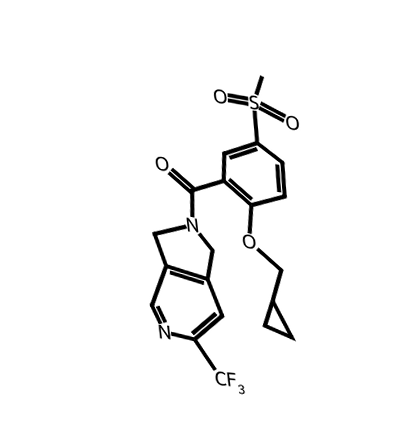 CS(=O)(=O)c1ccc(OCC2CC2)c(C(=O)N2Cc3cnc(C(F)(F)F)cc3C2)c1